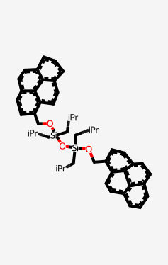 CC(C)C[Si](CC(C)C)(OCc1ccc2ccc3cccc4ccc1c2c34)O[Si](CC(C)C)(CC(C)C)OCc1ccc2ccc3cccc4ccc1c2c34